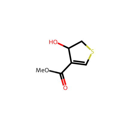 COC(=O)C1=CSCC1O